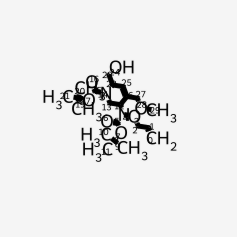 C=CCON(C(=O)OC(C)(C)C)C1CN(C(=O)OC(C)(C)C)C(CO)C=C1COC